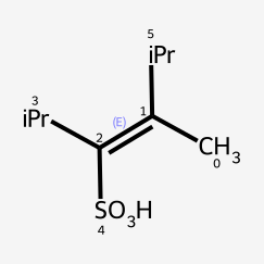 C/C(=C(/C(C)C)S(=O)(=O)O)C(C)C